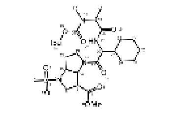 COC(=O)C1CN(S(C)(=O)=O)C2CCN(C(=O)C(NC(=O)C(C)N(C)C(=O)OC(C)(C)C)C3CCCCC3)C12